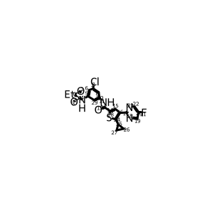 CCS(=O)(=O)Nc1cc(Cl)cc(NC(=O)c2cc(-c3ncc(F)cn3)c(C3CC3)s2)c1